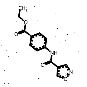 CCOC(=O)c1ccc(NC(=O)c2cnoc2)cc1